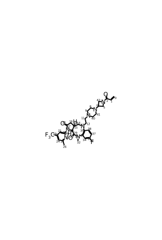 C=CC(=O)N1CC(N2CCN(CCN3C[C@H]4CC(=O)N(c5cc(C(F)(F)F)cc(C)n5)[C@@H]4C(=O)N(C)c4cc(F)ccc43)CC2)C1